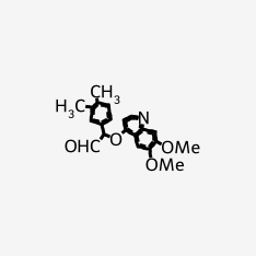 COc1cc2nccc(OC(C=O)c3ccc(C)c(C)c3)c2cc1OC